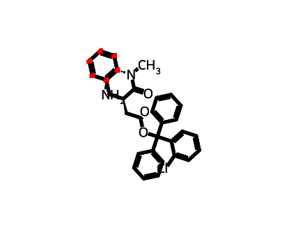 CN(C(=O)[C@@H](CC(=O)OC(c1ccccc1)(c1ccccc1)c1ccccc1Cl)Cc1ccccc1)[C@H]1CCCC[C@@H]1N